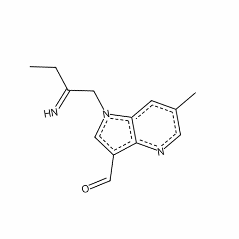 CCC(=N)Cn1cc(C=O)c2ncc(C)cc21